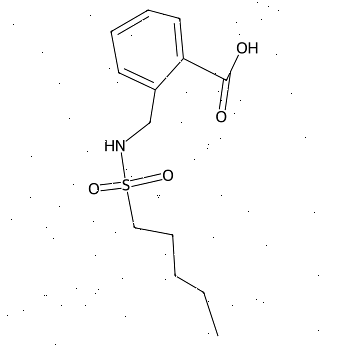 CCCCCS(=O)(=O)NCc1ccccc1C(=O)O